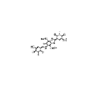 [C-]#[N+]C1=CC(=C2Sc3c(OC)c4c(c(OC)c3S2)SC(=C2C=C(C#N)C(=O)NC2=O)S4)C(=O)NC1=O